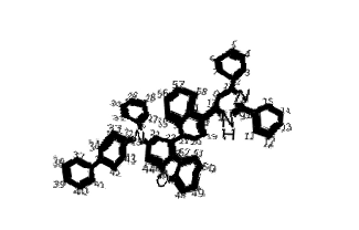 C1=C(c2ccccc2)N=C(c2ccccc2)NC1c1ccc(-c2cc(N(c3ccccc3)c3ccc(-c4ccccc4)cc3)cc3oc4ccccc4c23)c2ccccc12